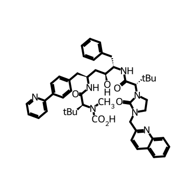 CN(C(=O)O)[C@H](C(=O)N[C@@H](Cc1ccc(-c2ccccn2)cc1)C[C@H](O)[C@H](Cc1ccccc1)NC(=O)[C@@H](N1CCN(Cc2ccc3ccccc3n2)C1=O)C(C)(C)C)C(C)(C)C